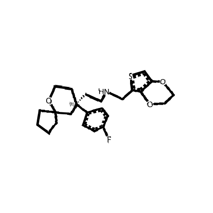 Fc1ccc([C@]2(CCNCc3scc4c3OCCO4)CCOC3(CCCC3)C2)cc1